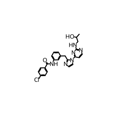 CC(O)CNc1nccc(-n2ccnc2Cc2cccc(NC(=O)c3ccc(Cl)cc3)c2)n1